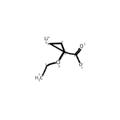 CCOC1(C(=O)[O-])CC1.[Li+]